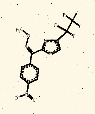 CON=C(c1ccc([N+](=O)[O-])cc1)c1nc(C(F)(F)C(F)(F)F)cs1